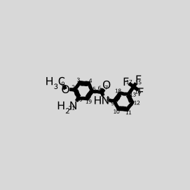 COc1ccc(C(=O)Nc2cccc(C(F)(F)F)c2)cc1N